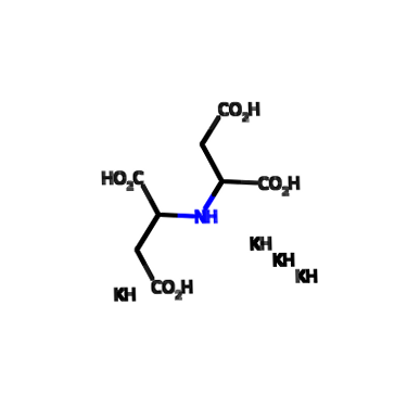 O=C(O)CC(NC(CC(=O)O)C(=O)O)C(=O)O.[KH].[KH].[KH].[KH]